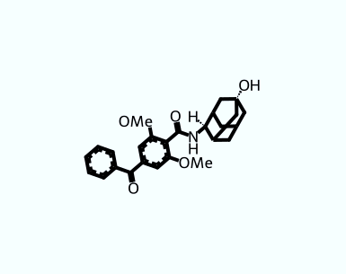 COc1cc(C(=O)c2ccccc2)cc(OC)c1C(=O)N[C@H]1C2CC3CC1C[C@](O)(C3)C2